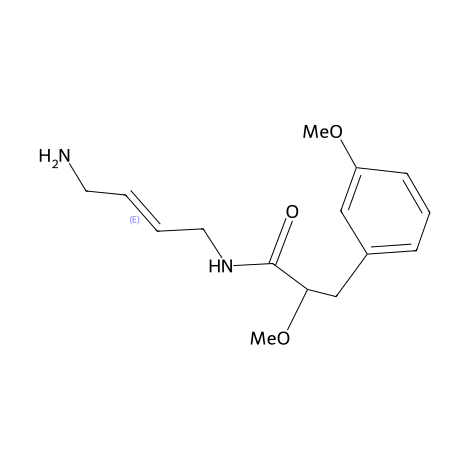 COc1cccc(CC(OC)C(=O)NC/C=C/CN)c1